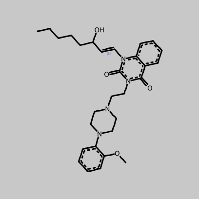 CCCCCC(O)/C=C/n1c(=O)n(CCN2CCN(c3ccccc3OC)CC2)c(=O)c2ccccc21